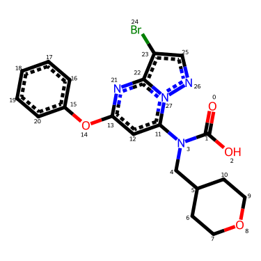 O=C(O)N(CC1CCOCC1)c1cc(Oc2ccccc2)nc2c(Br)cnn12